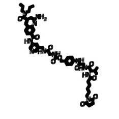 CCCN(CCC)C(=O)C1=Cc2ccc(C(=O)Nc3cncc(CNC(=O)CNC(=O)OCc4ccc(NC(=O)CNC(=O)[C@@H](NC(=O)CCCCCN5C(=O)C=CC5=O)C(C)C)cc4)c3)cc2N=C(N)C1